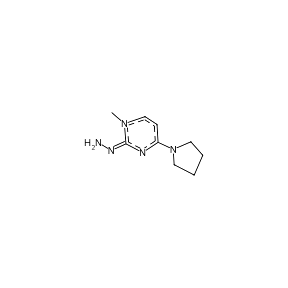 Cn1ccc(N2CCCC2)nc1=NN